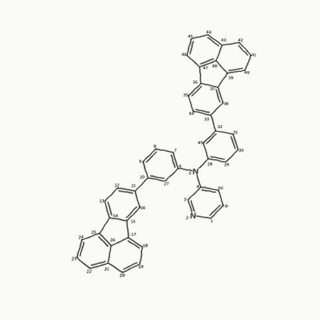 c1cncc(N(c2cccc(-c3ccc4c(c3)-c3cccc5cccc-4c35)c2)c2cccc(-c3ccc4c(c3)-c3cccc5cccc-4c35)c2)c1